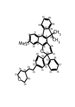 CSc1ccc2c3c(c4c(c2c1)OC(c1ccccc1)(c1ccc(CCC2CCOCC2)cc1)C=C4)C(C)(C)c1ccccc1-3